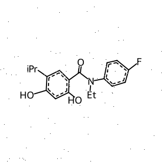 CCN(C(=O)c1cc(C(C)C)c(O)cc1O)c1ccc(F)cc1